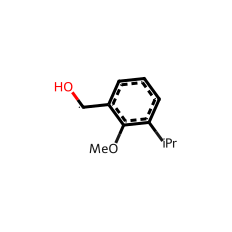 COc1c([CH]O)cccc1C(C)C